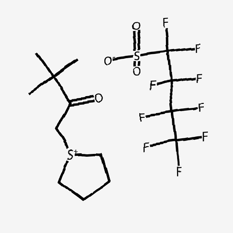 CC(C)(C)C(=O)C[S+]1CCCC1.O=S(=O)([O-])C(F)(F)C(F)(F)C(F)(F)C(F)(F)F